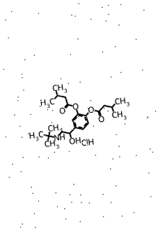 CC(C)CC(=O)Oc1ccc(C(O)CNC(C)(C)C)cc1OC(=O)CC(C)C.Cl